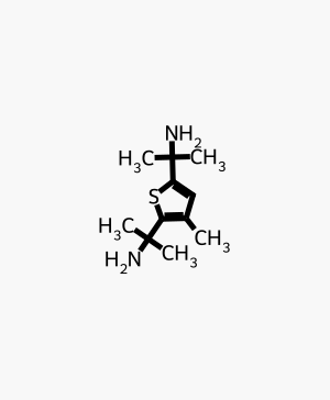 Cc1cc(C(C)(C)N)sc1C(C)(C)N